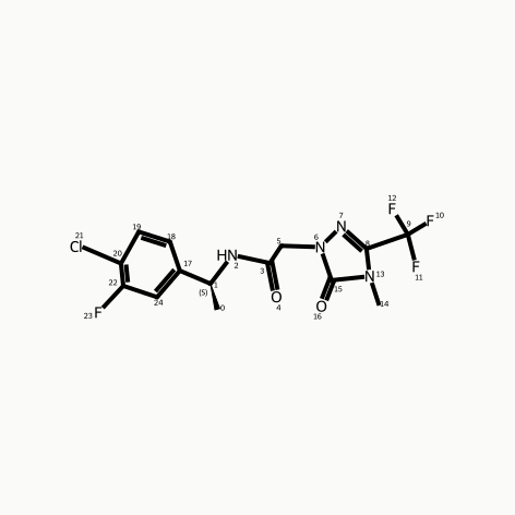 C[C@H](NC(=O)Cn1nc(C(F)(F)F)n(C)c1=O)c1ccc(Cl)c(F)c1